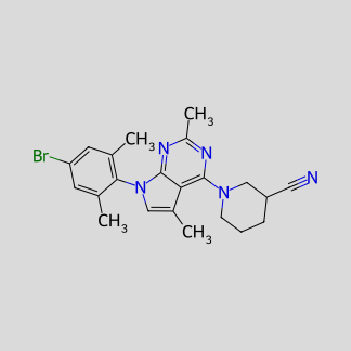 Cc1nc(N2CCCC(C#N)C2)c2c(C)cn(-c3c(C)cc(Br)cc3C)c2n1